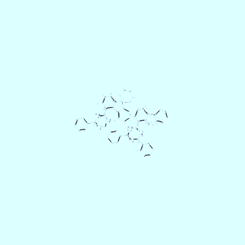 c1ccc(-c2nc(-c3cccc(-c4nc(-c5ccccc5)nc(-c5cccc6c5oc5ccccc56)n4)c3)nc(-c3cccc4c3-c3ccccc3C43CCCCC3)n2)cc1